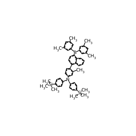 Cc1cc(C)cc(B(c2cc(C)cc(C)c2)c2ccc(-c3ccc(N(c4ccc([Si](C)(C)C)cc4)c4ccc([Si](C)(C)C)cc4)cc3C)c3ccccc23)c1